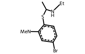 CCNC(C)Sc1ccc(Br)cc1NC